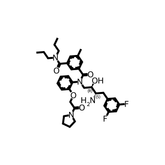 CCCN(CCC)C(=O)c1cc(C)cc(C(=O)N(C[C@@H](O)[C@@H](N)Cc2cc(F)cc(F)c2)c2ccccc2OCC(=O)N2CCCC2)c1